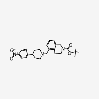 CC(C)(C)OC(=O)N1CCc2c(CN3CCC(c4ccc([N+](=O)[O-])cc4)CC3)cccc2C1